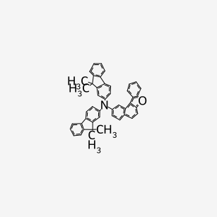 CC1(C)c2ccccc2-c2ccc(N(c3ccc4c(c3)C(C)(C)c3ccccc3-4)c3ccc4ccc5oc6ccccc6c5c4c3)cc21